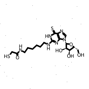 O=C(CS)NCCCCCCNc1nc2c(ncn2[C@@H]2O[C@H](CO)[C@@H](O)[C@H]2O)c(=S)[nH]1